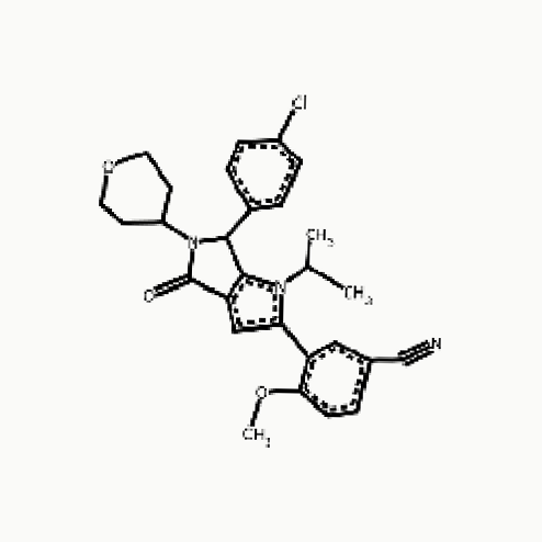 COc1ccc(C#N)cc1-c1cc2c(n1C(C)C)C(c1ccc(Cl)cc1)N(C1CCOCC1)C2=O